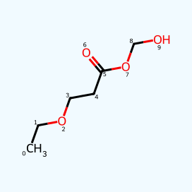 CCOCCC(=O)OCO